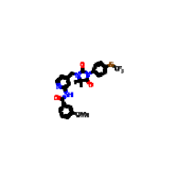 COc1cccc(C(=O)Nc2cc(CN3C(=O)N(c4ccc(SC(F)(F)F)cc4)C(=O)C3(C)C)ccn2)c1